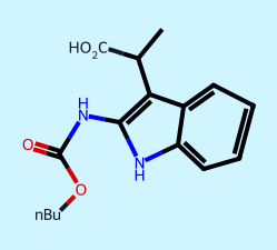 CCCCOC(=O)Nc1[nH]c2ccccc2c1C(C)C(=O)O